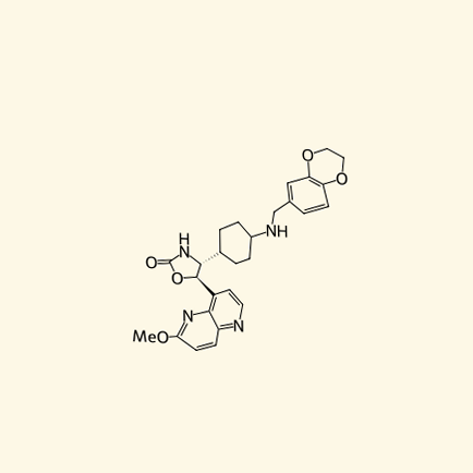 COc1ccc2nccc([C@H]3OC(=O)N[C@@H]3C3CCC(NCc4ccc5c(c4)OCCO5)CC3)c2n1